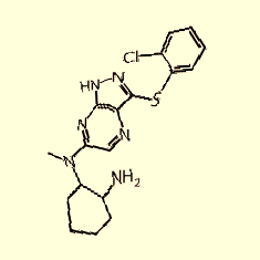 CN(c1cnc2c(Sc3ccccc3Cl)n[nH]c2n1)C1CCCCC1N